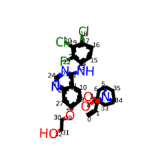 C=CC(=O)N1C2CC(Oc3cc4c(Nc5ccc(Cl)c(Cl)c5F)ncnc4cc3OCCO)CC1C2